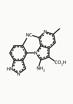 Cc1cc2c(C(=O)O)c(N)n(-c3c(C)ccc4[nH]ncc34)c2c(C#N)n1